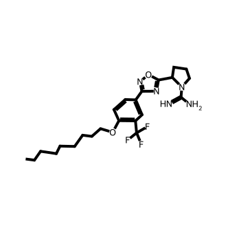 CCCCCCCCCOc1ccc(-c2noc(C3CCCN3C(=N)N)n2)cc1C(F)(F)F